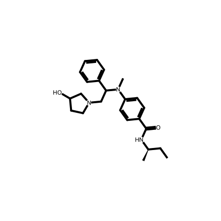 CC[C@@H](C)NC(=O)c1ccc(N(C)C(CN2CCC(O)C2)c2ccccc2)cc1